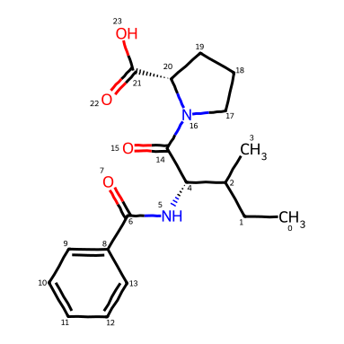 CCC(C)[C@H](NC(=O)c1ccccc1)C(=O)N1CCC[C@H]1C(=O)O